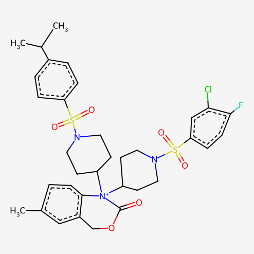 Cc1ccc2c(c1)COC(=O)[N+]2(C1CCN(S(=O)(=O)c2ccc(C(C)C)cc2)CC1)C1CCN(S(=O)(=O)c2ccc(F)c(Cl)c2)CC1